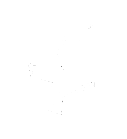 C=C/C(=N\C=C/CBr)C1(C#N)CC1